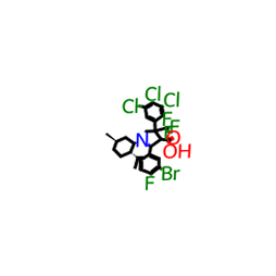 CC(C)[C@@H]1CC[C@@H](C)C[C@H]1N1CC(c2cc(Cl)c(Cl)c(Cl)c2)(C(F)(F)F)C(C(=O)O)C1c1ccc(F)c(Br)c1